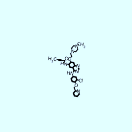 CC#CC(=O)Nc1cc2c(Nc3ccc(OCc4ccccn4)c(Cl)c3)ncnc2cc1OCCN1CCN(C)CC1